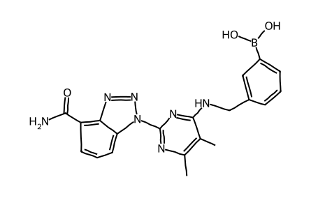 Cc1nc(-n2nnc3c(C(N)=O)cccc32)nc(NCc2cccc(B(O)O)c2)c1C